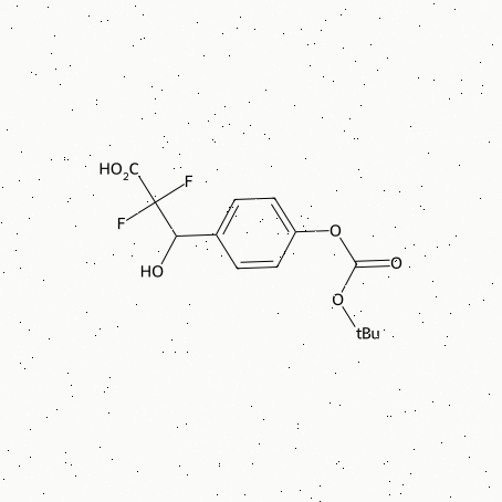 CC(C)(C)OC(=O)Oc1ccc(C(O)C(F)(F)C(=O)O)cc1